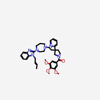 CC=CCn1c(N2CCCN(CCC3(c4ccccn4)CCN(C(=O)c4cc(OC)c(OC)c(OC)c4)C3)CC2)nc2ccccc21